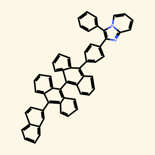 c1ccc(-c2c(-c3ccc(-c4c5ccccc5c(-c5c6ccccc6c(-c6ccc7ccccc7c6)c6ccccc56)c5ccccc45)cc3)nc3ccccn23)cc1